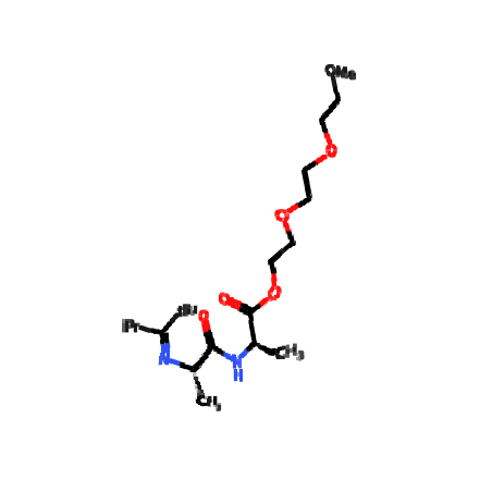 COCCOCCOCCOC(=O)[C@@H](C)NC(=O)[C@H](C)/N=C(/C(C)C)C(C)(C)C